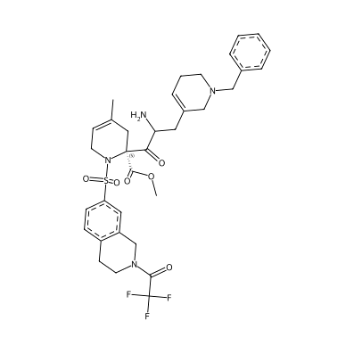 COC(=O)[C@@]1(C(=O)C(N)CC2=CCCN(Cc3ccccc3)C2)CC(C)=CCN1S(=O)(=O)c1ccc2c(c1)CN(C(=O)C(F)(F)F)CC2